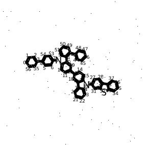 c1ccc(-c2ccc(-n3c4ccc(-c5ccc6c(c5)c5ccccc5n6-c5ccc6c(c5)sc5ccccc56)cc4c4c(-c5ccccc5)cccc43)cc2)cc1